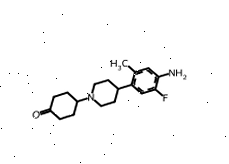 Cc1cc(N)c(F)cc1C1CCN(C2CCC(=O)CC2)CC1